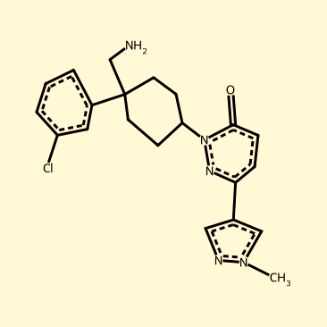 Cn1cc(-c2ccc(=O)n(C3CCC(CN)(c4cccc(Cl)c4)CC3)n2)cn1